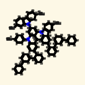 CC(C)(C)c1ccc(N2c3ccc(-c4ccccc4-c4cccc(-c5ccccc5)c4)cc3B3c4c2cc(-n2c5c(c6ccc(C(C)(C)C)cc62)C=CC(C(C)(C)C)C5)cc4-n2c4ccc(C(C)(C)C)cc4c4cc(-c5ccccc5-c5cccc(-c6ccccc6)c5)cc3c42)cc1